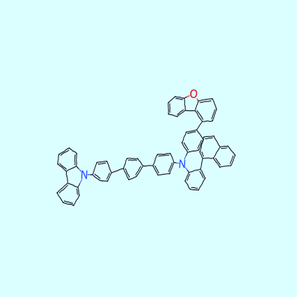 c1ccc(N(c2ccc(-c3ccc(-c4ccc(-n5c6ccccc6c6ccccc65)cc4)cc3)cc2)c2ccc(-c3cccc4oc5ccccc5c34)cc2)c(-c2cccc3ccccc23)c1